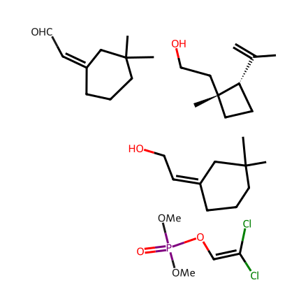 C=C(C)[C@@H]1CC[C@]1(C)CCO.CC1(C)CCC/C(=C/CO)C1.CC1(C)CCCC(=CC=O)C1.COP(=O)(OC)OC=C(Cl)Cl